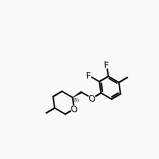 Cc1ccc(OC[C@@H]2CCC(C)CO2)c(F)c1F